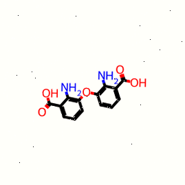 Nc1c(Oc2cccc(C(=O)O)c2N)cccc1C(=O)O